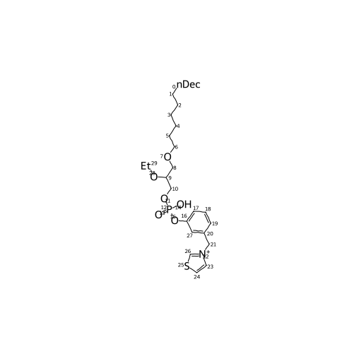 CCCCCCCCCCCCCCCCOCC(COP(=O)(O)Oc1cccc(C[n+]2ccsc2)c1)OCC